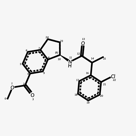 COC(=O)c1ccc2c(c1)[C@H](NC(=O)C(C)c1ccccc1Cl)CC2